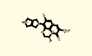 C[C@H]1COc2c(N3CC4=C(CNC4)C3)c(F)cc3cc(C(=O)O)c(=O)n1c23